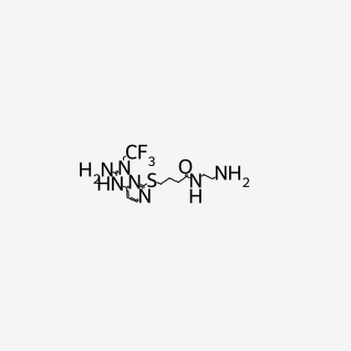 NCCNC(=O)CCCSc1nccc(NC(N)=NCC(F)(F)F)n1